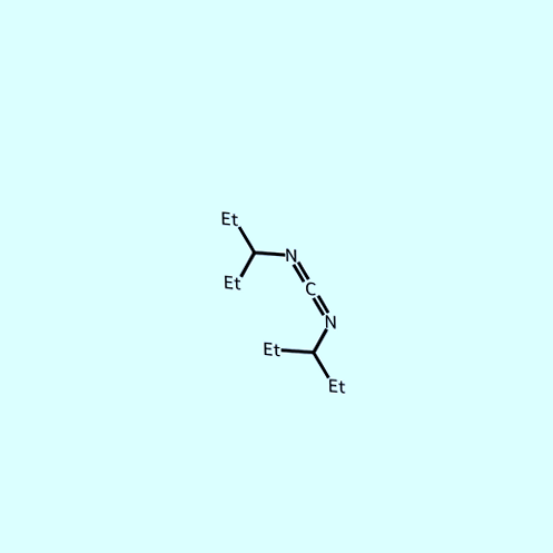 CCC(CC)N=C=NC(CC)CC